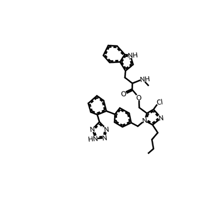 CCCCc1nc(Cl)c(COC(=O)C(Cc2c[nH]c3ccccc23)NC)n1Cc1ccc(-c2ccccc2-c2nn[nH]n2)cc1